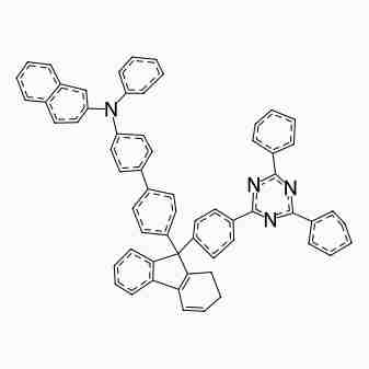 C1=CC2=C(CC1)C(c1ccc(-c3ccc(N(c4ccccc4)c4ccc5ccccc5c4)cc3)cc1)(c1ccc(-c3nc(-c4ccccc4)nc(-c4ccccc4)n3)cc1)c1ccccc12